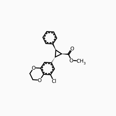 COC(=O)[C@@H]1[C@H](c2ccccc2)[C@H]1c1cc(Cl)c2c(c1)OCCO2